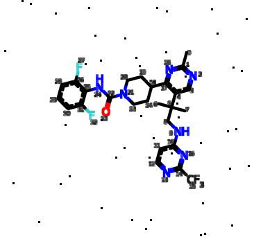 Cc1ncc(C(C)(C)CNc2ccnc(C(F)(F)F)n2)c(C2CCN(C(=O)Nc3c(F)cccc3F)CC2)n1